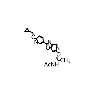 CC(=O)N[C@@H](C)COc1cc2oc(-c3ccc(OCC4CC4)nc3)nc2cn1